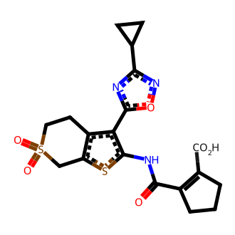 O=C(O)C1=C(C(=O)Nc2sc3c(c2-c2nc(C4CC4)no2)CCS(=O)(=O)C3)CCC1